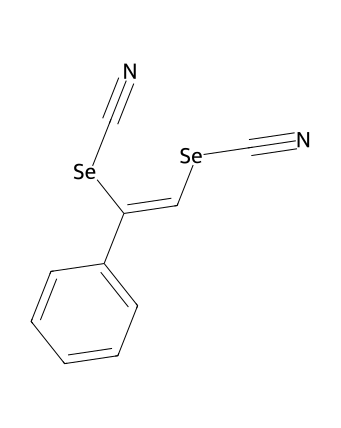 N#C[Se]C=C([Se]C#N)c1ccccc1